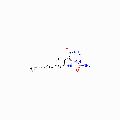 COC/C=C/c1ccc2c(C(N)=O)c(NC(N)=O)[nH]c2c1